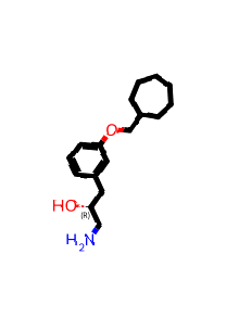 NC[C@H](O)Cc1cccc(OCC2CCCCCC2)c1